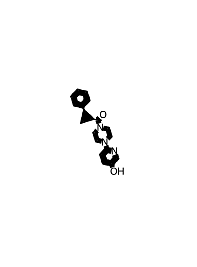 O=C([C@@H]1C[C@H]1c1ccccc1)N1CCN(c2ccc(O)cn2)CC1